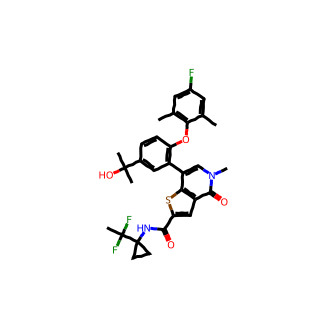 Cc1cc(F)cc(C)c1Oc1ccc(C(C)(C)O)cc1-c1cn(C)c(=O)c2cc(C(=O)NC3(C(C)(F)F)CC3)sc12